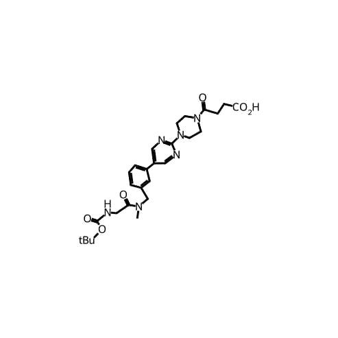 CN(Cc1cccc(-c2cnc(N3CCN(C(=O)CCC(=O)O)CC3)nc2)c1)C(=O)CNC(=O)OC(C)(C)C